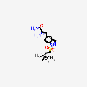 C[Si](C)(C)CCS(=O)(=O)n1ncc2cc(/C=C(\N)C(N)=O)ccc21